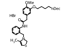 Br.CCCCCCCCCCCCCCOc1cc(CC(=O)Nc2ccccc2CN2CSC=C2C)ccc1OC